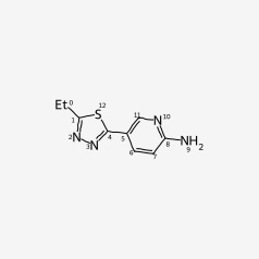 CCc1nnc(-c2ccc(N)nc2)s1